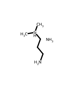 C[SiH](C)CCCN.N